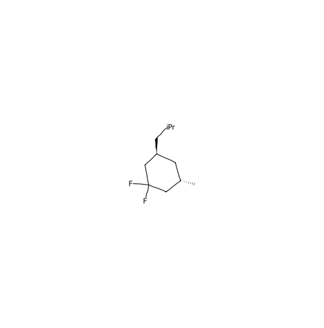 CC(C)C[C@H]1C[C@H](C)CC(F)(F)C1